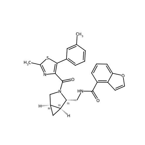 Cc1cccc(-c2sc(C)nc2C(=O)N2C[C@@H]3C[C@@H]3[C@H]2CNC(=O)c2cccc3occc23)c1